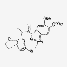 COc1cc2nc(C)nc(NC(C)c3cc(Br)cc4c3OCC4)c2cc1OC